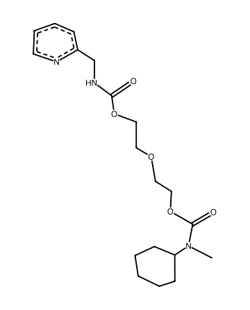 CN(C(=O)OCCOCCOC(=O)NCc1ccccn1)C1CCCCC1